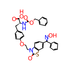 O=C(N[C@@H](Cc1ccc(OCCn2c(=O)sc3cc(C(=NO)c4ccccc4)ccc32)cc1)C(=O)O)OCc1ccccc1